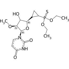 CCOP(=S)(OCC)C1CC1[C@H]1O[C@@H](n2ccc(=O)[nH]c2=O)[C@@H](OC)C1O